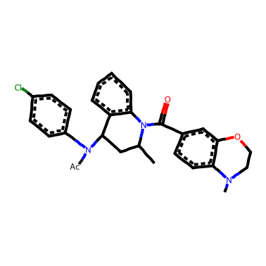 CC(=O)N(c1ccc(Cl)cc1)C1CC(C)N(C(=O)c2ccc3c(c2)OCCN3C)c2ccccc21